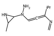 C=NC(=C=CN(N)C1NC1C)C(C)C